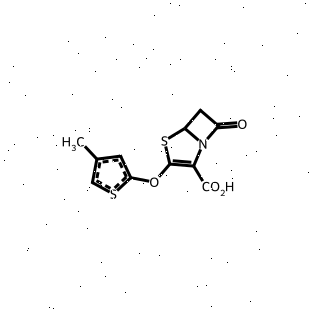 Cc1csc(OC2=C(C(=O)O)N3C(=O)CC3S2)c1